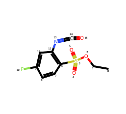 CCOS(=O)(=O)c1ccc(F)cc1N=C=O